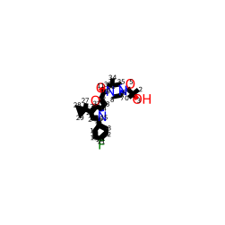 CC(C)(O)C(=O)N1CCN(C(=O)c2cc3nc(-c4ccc(F)cc4)cc(C4(C)CC4)c3o2)C(C)(C)C1